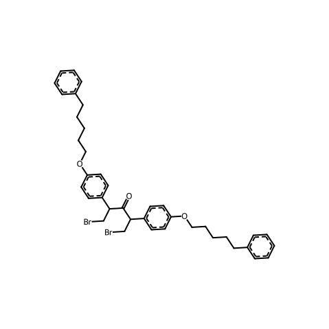 O=C(C(CBr)c1ccc(OCCCCCc2ccccc2)cc1)C(CBr)c1ccc(OCCCCCc2ccccc2)cc1